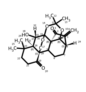 C=C1C(=O)[C@@]23C4CC[C@@H]1[C@H]2OC(C)(C)OC31OC[C@]42C(=O)CCC(C)(C)[C@H]2[C@@H]1O